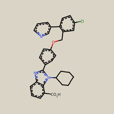 O=C(O)c1cccc2nc(-c3ccc(OCc4cc(Cl)ccc4-c4cccnc4)cc3)n(C3CCCCC3)c12